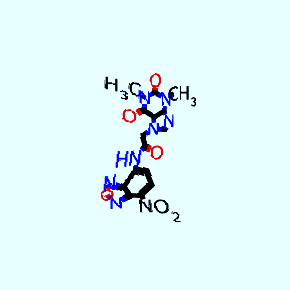 CN1C(=O)C2C(N=CN2CC(=O)Nc2ccc([N+](=O)[O-])c3nonc23)N(C)C1=O